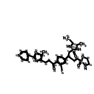 CCNP(=O)(CC(CCP1(=O)NCCO1)c1ccc(C(=O)CCc2nc(-c3ccncc3)oc2C)c(F)c1)NCC